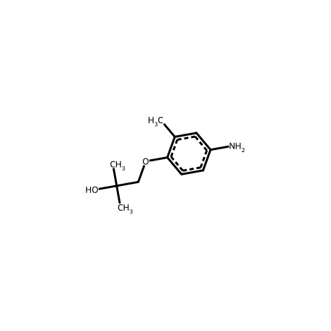 Cc1cc(N)ccc1OCC(C)(C)O